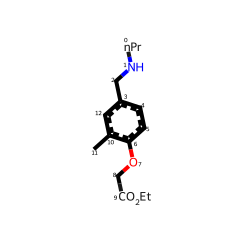 CCCNCc1ccc(OCC(=O)OCC)c(C)c1